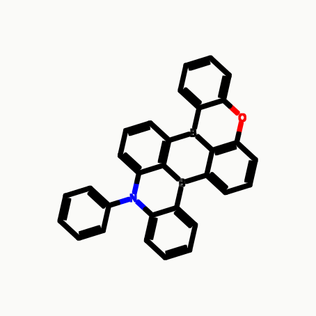 c1ccc(N2c3ccccc3B3c4cccc5c4B(c4ccccc4O5)c4cccc2c43)cc1